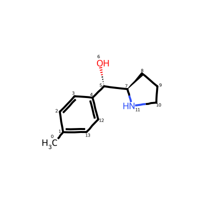 Cc1ccc([C@H](O)[C@H]2CCCN2)cc1